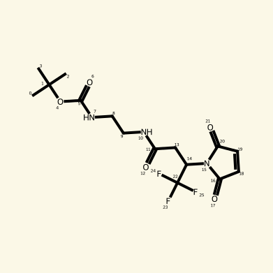 CC(C)(C)OC(=O)NCCNC(=O)CC(N1C(=O)C=CC1=O)C(F)(F)F